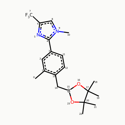 Cc1cc(-c2nc(C(F)(F)F)cn2C)ccc1CB1OC(C)(C)C(C)(C)O1